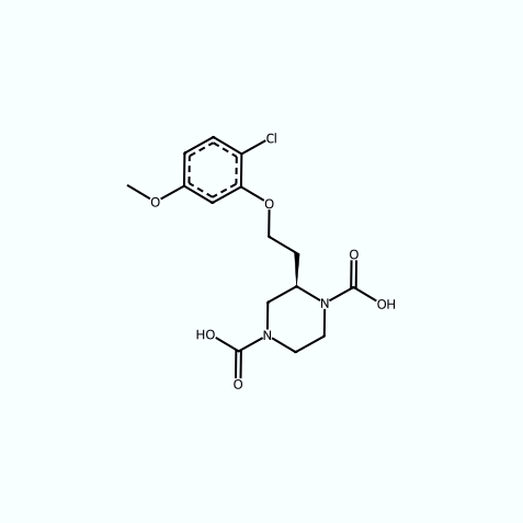 COc1ccc(Cl)c(OCC[C@@H]2CN(C(=O)O)CCN2C(=O)O)c1